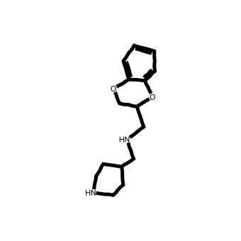 c1ccc2c(c1)OCC(CNCC1CCNCC1)O2